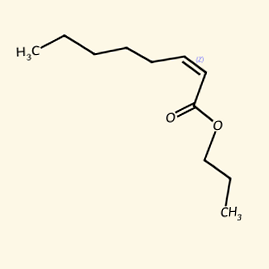 CCCCC/C=C\C(=O)OCCC